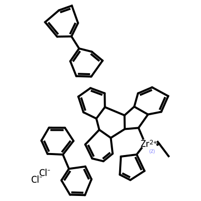 C/[CH]=[Zr+2](\[C]1=CC=CC1)[CH]1C2C=CC=CC2C2C3C=CC=CC3C3C=CC=CC3C21.[Cl-].[Cl-].c1ccc(-c2ccccc2)cc1.c1ccc(-c2ccccc2)cc1